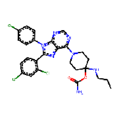 CCCNC1(OC(N)=O)CCN(c2ncnc3c2nc(-c2ccc(Cl)cc2Cl)n3-c2ccc(Cl)cc2)CC1